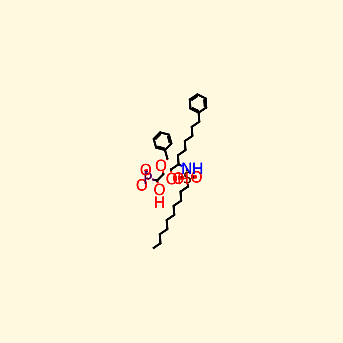 CCCCCCCCCCS(=O)(=O)NC(CO)CCCCCCc1ccccc1.O=P(=O)C(O)COCc1ccccc1